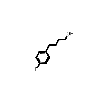 OCC/C=C/c1ccc(F)cc1